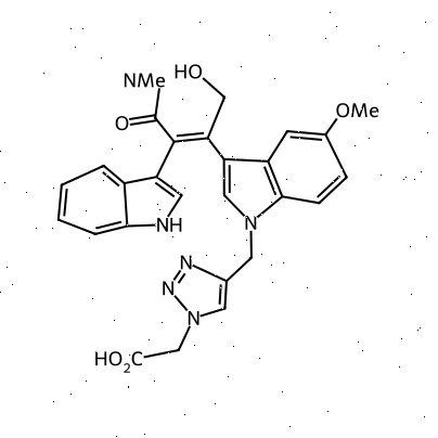 CNC(=O)/C(=C(\CO)c1cn(Cc2cn(CC(=O)O)nn2)c2ccc(OC)cc12)c1c[nH]c2ccccc12